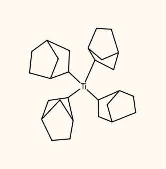 C1CC2CC1C[CH]2[Ti]([CH]1CC2CCC1C2)([CH]1CC2CCC1C2)[CH]1CC2CCC1C2